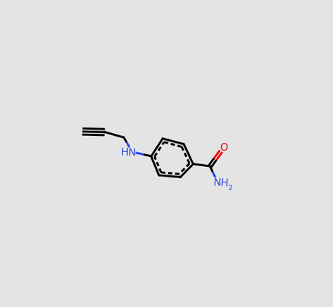 C#CCNc1ccc(C(N)=O)cc1